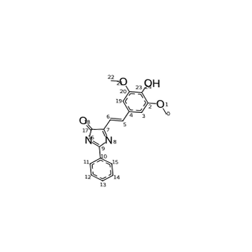 COc1cc(C=CC2=NC(c3ccccc3)=NC2=O)cc(OC)c1O